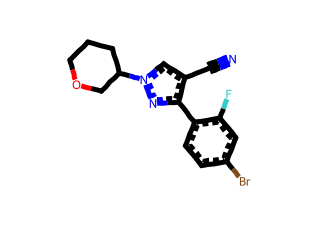 N#Cc1cn(C2CCCOC2)nc1-c1ccc(Br)cc1F